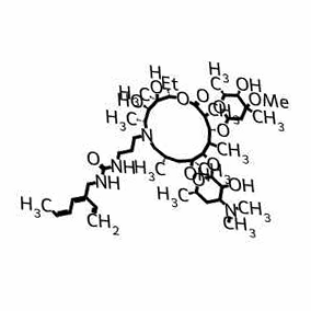 C=C/C(=C\C=C/C)CNC(=O)NCCCN1C[C@@H](C)C[C@](C)(O)C(O[C@@H]2O[C@H](C)CC(N(C)C)C2O)C(C)[C@@H](OC2CC(C)(OC)[C@H](O)[C@H](C)O2)C(C)C(=O)O[C@@H](CC)[C@](C)(O)[C@H](O)[C@H]1C